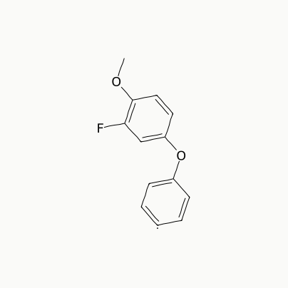 COc1ccc(Oc2cc[c]cc2)cc1F